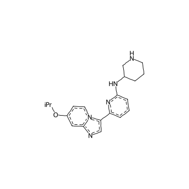 CC(C)Oc1ccn2c(-c3cccc(NC4CCCNC4)n3)cnc2c1